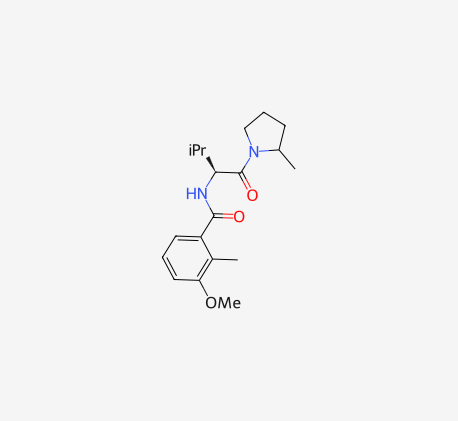 COc1cccc(C(=O)N[C@H](C(=O)N2CCCC2C)C(C)C)c1C